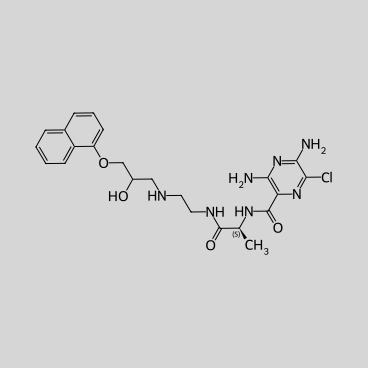 C[C@H](NC(=O)c1nc(Cl)c(N)nc1N)C(=O)NCCNCC(O)COc1cccc2ccccc12